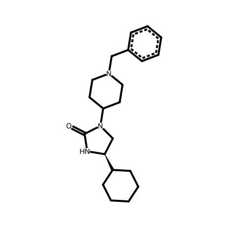 O=C1N[C@H](C2CCCCC2)CN1C1CCN(Cc2ccccc2)CC1